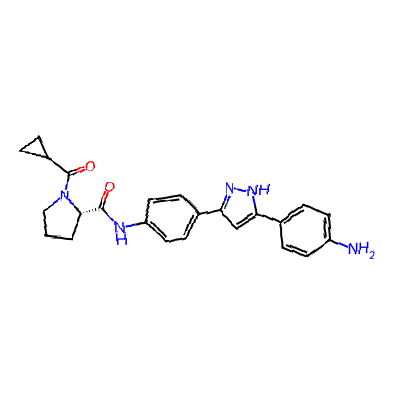 Nc1ccc(-c2cc(-c3ccc(NC(=O)[C@@H]4CCCN4C(=O)C4CC4)cc3)n[nH]2)cc1